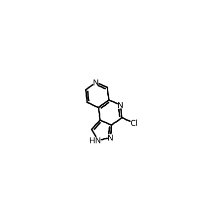 Clc1nc2cnccc2c2c[nH]nc12